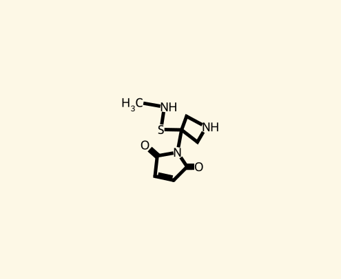 CNSC1(N2C(=O)C=CC2=O)CNC1